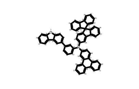 c1cc(-c2ccc3oc4ccccc4c3c2)cc(N(c2ccc3c(c2)-c2ccccc2C32c3ccccc3-c3ccccc32)c2ccc3c4ccccc4c4ccccc4c3c2)c1